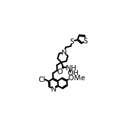 COc1ccc2ncc(Cl)c(CCCC3(C(=O)NO)CCN(CCSc4ccsc4)CC3)c2c1